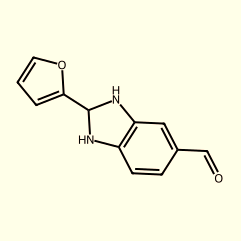 O=Cc1ccc2c(c1)NC(c1ccco1)N2